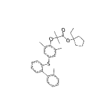 CCC1(OC(=O)C(C)(C)Oc2c(C)cc(Sc3ccccc3-c3ccccc3C)cc2C)CCCC1